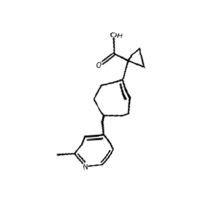 Cc1cc(C2CC=C(C3(C(=O)O)CC3)CC2)ccn1